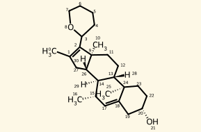 CC1=C(C2CCCCO2)[C@@]2(C)CC[C@H]3[C@@H]([C@@H](C)C=C4C[C@@H](O)CC[C@@]43C)[C@@H]2C1